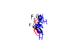 O=C(Nc1cncc(C(F)(F)F)c1)c1cnn(-c2cccc3c(=O)[nH]ccc23)c1C(F)(F)F